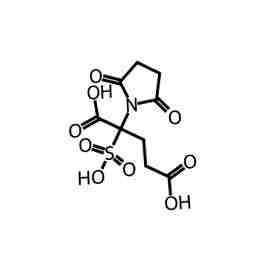 O=C(O)CCC(C(=O)O)(N1C(=O)CCC1=O)S(=O)(=O)O